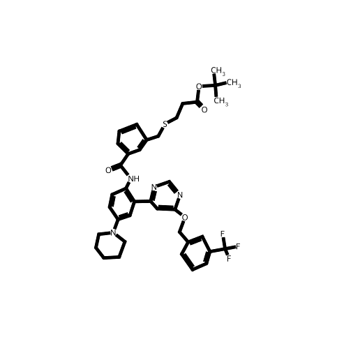 CC(C)(C)OC(=O)CCSCc1cccc(C(=O)Nc2ccc(N3CCCCC3)cc2-c2cc(OCc3cccc(C(F)(F)F)c3)ncn2)c1